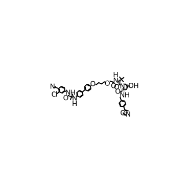 CC(C)(Nc1ccc(-c2ccc(OCCCCOCC(=O)N[C@H](C(=O)N3C[C@H](O)C[C@H]3C(=O)NCc3ccc(-c4cnco4)cc3)C(C)(C)C)cc2)cc1)C(=O)Nc1ccc(C#N)c(Cl)c1